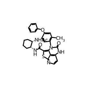 CC(=O)N[C@H]1CCCC[C@H]1NC(=O)c1sc2nccc3c2c1N(c1ccc(Oc2ccccc2)cc1C)C(=O)N3